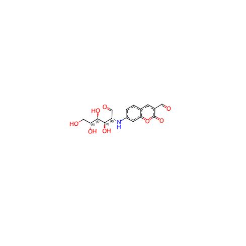 O=Cc1cc2ccc(N[C@@H](C=O)[C@@H](O)[C@H](O)[C@H](O)CO)cc2oc1=O